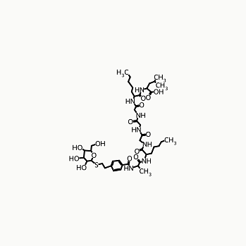 CCCCCC(NC(=O)CNC(=O)CNC(=O)CNC(=O)C(CCCCC)NC(=O)C(C)NC(=O)c1ccc(CCSC2OC(CO)C(O)C(O)C2O)cc1)C(=O)NC(CC(C)C)C(=O)O